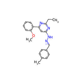 CCc1nc(N/N=C/c2ccc(C)cc2)cc(-c2ccccc2OC)n1